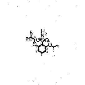 CCOc1cccc(OCC(F)F)c1S(N)(=O)=O